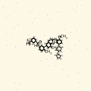 COc1ccc(N2CCC(N3CCCC3)CC2)cc1Nc1ncc2cc(-c3cc(NC(=O)c4cccc(C(F)(F)F)c4)ccc3C)cc(C)c2n1